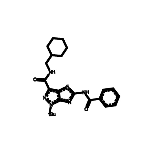 CC(C)(C)n1nc(C(=O)NCC2CCCCC2)c2sc(NC(=O)c3ccccc3)nc21